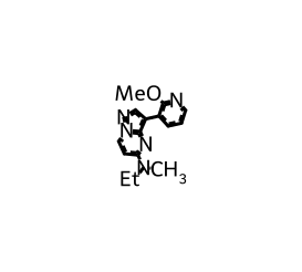 CCN(C)c1ccn2ncc(-c3cccnc3OC)c2n1